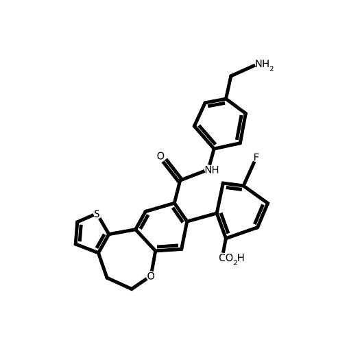 NCc1ccc(NC(=O)c2cc3c(cc2-c2cc(F)ccc2C(=O)O)OCCc2ccsc2-3)cc1